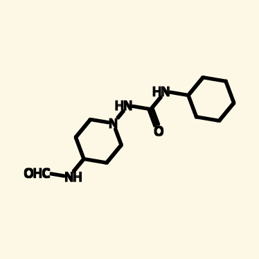 O=CNC1CCN(NC(=O)NC2CCCCC2)CC1